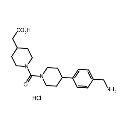 Cl.NCc1ccc(C2CCN(C(=O)N3CCC(CC(=O)O)CC3)CC2)cc1